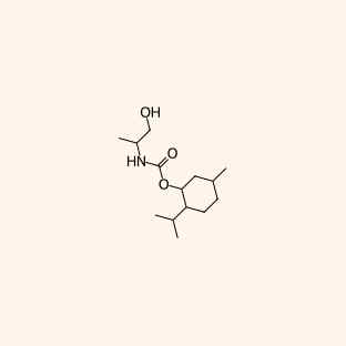 CC1CCC(C(C)C)C(OC(=O)NC(C)CO)C1